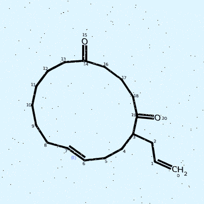 C=CCC1CC/C=C/CCCCCCC(=O)CCCC1=O